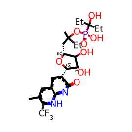 CCC(C)(C[C@H]1O[C@@H](c2cc3cc(C)c(C(F)(F)F)[nH]c-3nc2=O)[C@@H](O)C1O)OP(=O)(O)C(O)(CC)CC